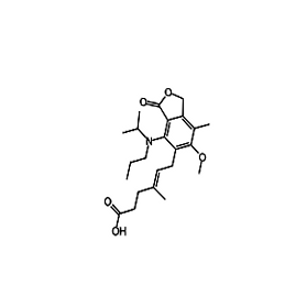 CCCN(c1c(C/C=C(\C)CCC(=O)O)c(OC)c(C)c2c1C(=O)OC2)C(C)C